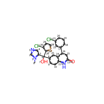 Cn1cncc1C(O)(c1ccc2[nH]c(=O)cc(-c3cccc(Cl)c3)c2c1)c1sccc1Cl